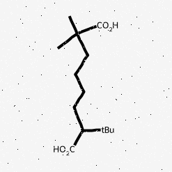 CC(C)(CCCCC(C(=O)O)C(C)(C)C)C(=O)O